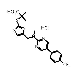 CN(Cc1csc(SC(C)(C)C(=O)O)n1)c1ncc(-c2ccc(C(F)(F)F)cc2)cn1.Cl